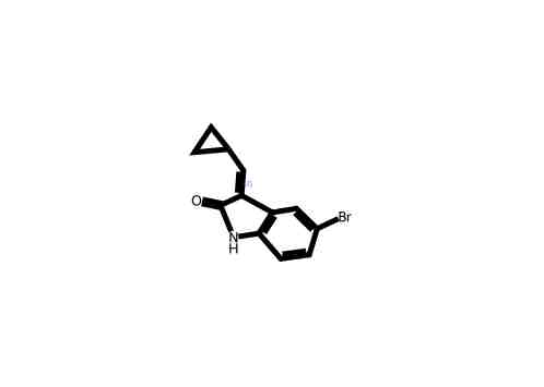 O=C1Nc2ccc(Br)cc2/C1=C/C1CC1